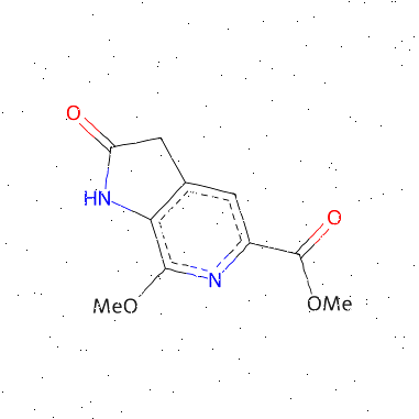 COC(=O)c1cc2c(c(OC)n1)NC(=O)C2